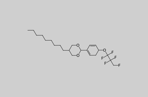 CCCCCCCCCC1COC(C2=CCC(OC(F)(F)C(F)(F)CF)C=C2)OC1